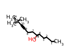 CCCCC[C@@H](O)CCC#C[Si](C)(C)C